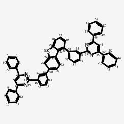 c1ccc(-c2cc(-c3ccccc3)nc(-c3cccc(-c4ccc5c(c4)sc4cccc(-c6cccc(-c7nc(-c8ccccc8)cc(-c8ccccc8)n7)c6)c45)c3)n2)cc1